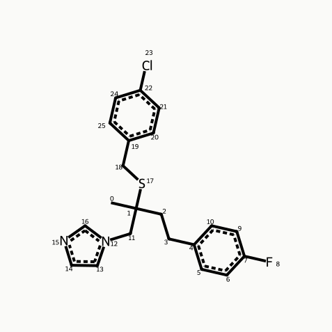 CC(CCc1ccc(F)cc1)(Cn1ccnc1)SCc1ccc(Cl)cc1